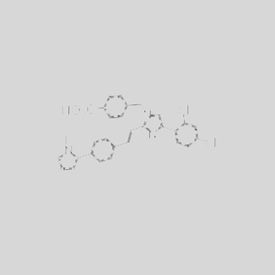 O=C(O)c1ccc(Cn2cc(-c3ccc(Cl)cc3Cl)nc2C=Cc2ccc(-c3ccc[nH]3)cc2)cc1